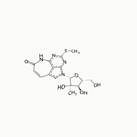 CSc1nc2c3c(cn([C@@H]4O[C@H](CO)[C@@H](O)[C@@]4(C)O)c3n1)C=CC(=O)N2